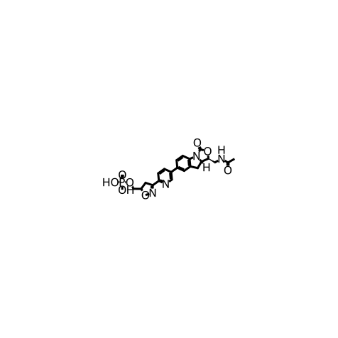 CC(=O)NC[C@@H]1OC(=O)N2c3ccc(-c4ccc(C5=NOC(COP(=O)(O)O)C5)nc4)cc3C[C@@H]12